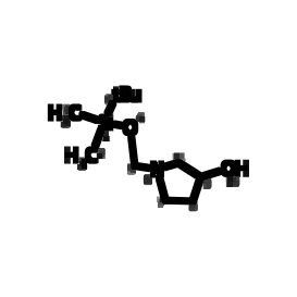 CC(C)(C)[Si](C)(C)OCN1CCC(O)C1